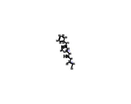 C=NN(/C=C(\C)CNC/C(C)=C/C)Cc1ccccc1